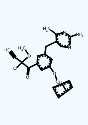 C#CC(Cl)(OC)C(=O)c1cc(Cc2cnc(N)nc2N)cc(OC)c1.c1cc2ccc1-2